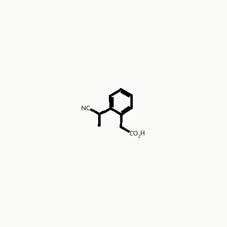 CC(C#N)c1ccccc1CC(=O)O